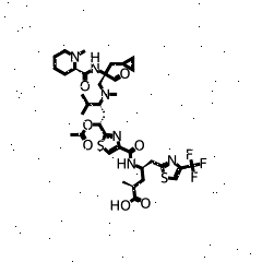 CC(=O)O[C@H](C[C@H](C(C)C)N(C)C[C@](C=O)(CC1CC1)NC(=O)[C@H]1CCCCN1C)c1nc(C(=O)N[C@@H](Cc2nc(C(F)(F)F)cs2)C[C@H](C)C(=O)O)cs1